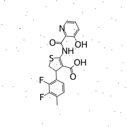 Cc1ccc(C2CSC(NC(=O)c3ncccc3O)=C2C(=O)O)c(F)c1F